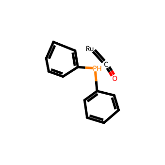 O=[C]=[Ru].c1ccc(Pc2ccccc2)cc1